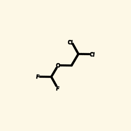 FC(F)OCC(Cl)Cl